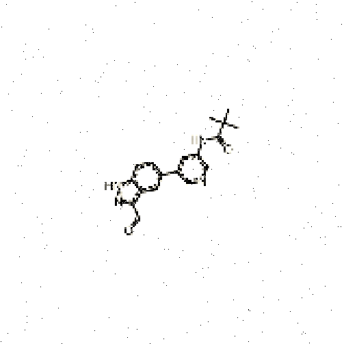 CC(C)(C)C(=O)Nc1cncc(-c2ccc3[nH]nc(C=O)c3c2)c1